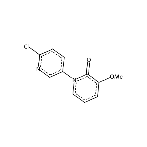 COc1cccn(-c2ccc(Cl)nc2)c1=O